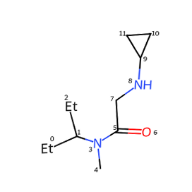 CCC(CC)N(C)C(=O)CNC1CC1